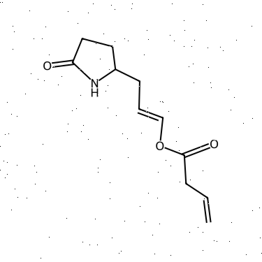 C=CCC(=O)OC=CCC1CCC(=O)N1